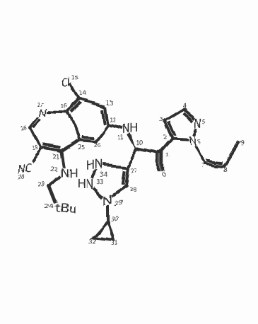 C=C(c1ccnn1/C=C\C)[C@H](Nc1cc(Cl)c2ncc(C#N)c(NCC(C)(C)C)c2c1)C1=CN(C2CC2)NN1